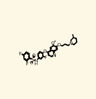 COc1cc2c(Oc3ccc(NS(=O)(=O)c4ccc(F)cc4F)cc3F)ccnc2cc1OCCCN1CCCC(C)C1